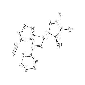 C#Cc1ncnc2c1c(-c1ccccc1)cn2[C@@H]1O[C@H](C)[C@@H](O)[C@H]1O